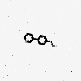 CC(C)(C)Cc1ccc(-c2cccnc2)cc1